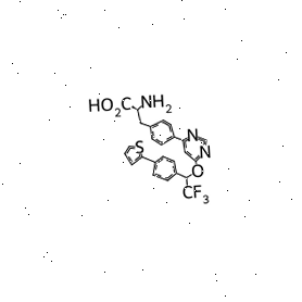 N[C@@H](Cc1ccc(-c2cc(OC(c3ccc(-c4cccs4)cc3)C(F)(F)F)ncn2)cc1)C(=O)O